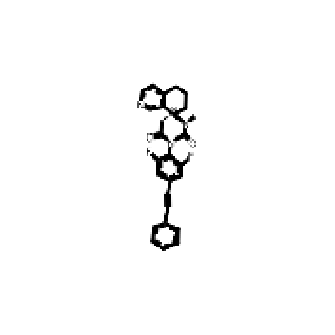 CN1C(=O)N(c2c(F)cc(C#Cc3ccccc3)cc2F)C(=O)C[C@]12CCCc1ccncc12